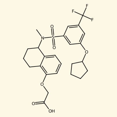 CN(C1CCCc2c(OCC(=O)O)cccc21)S(=O)(=O)c1cc(OC2CCCC2)cc(C(F)(F)F)c1